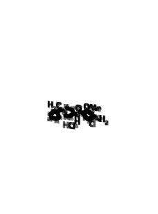 COc1cc(N)c(Cl)cc1C(=O)NC1CCN(C(C)C2=CCC=CC2)CC1.Cl